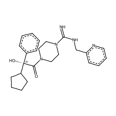 N=C(NCc1ccccn1)N1CCN(C(=O)[C@](O)(c2ccccc2)C2CCCC2)CC1